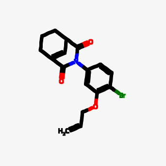 C=CCOc1cc(N2C(=O)C3=CC(CCC3)C2=O)ccc1Br